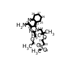 CCOCc1nc2c(N)nc3c(c2n1CC(C)(C)OCCS(C)(=O)=O)CCCC3